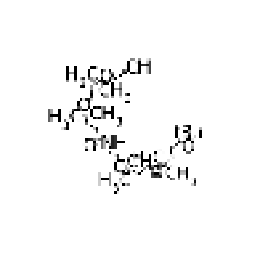 C#CCOC(C)(C)CCOC(C)(C)CCC(=O)NCCOC(C)(C)CCOC(C)(C)CCC(=O)C(C)(C)C